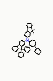 CC1(C)c2ccccc2-c2ccc(N(C3=CCC=C(c4ccccc4)C=C3)c3ccc4c(c3)C(c3ccccc3)(c3ccccc3)c3ccccc3-4)cc21